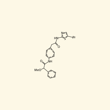 COC(C(=O)Nc1ccc(CC(=O)Nc2ncc(C(C)C)s2)cc1)c1ccccc1